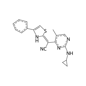 Cc1cnc(NC2CC2)nc1C(C#N)=C1NC(c2ccccc2)=CS1